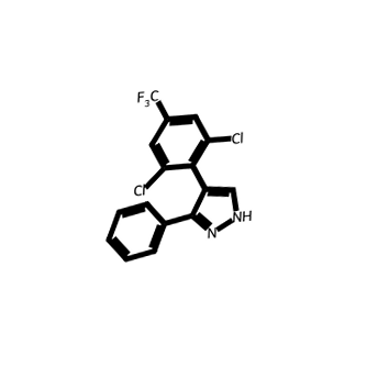 FC(F)(F)c1cc(Cl)c(-c2c[nH]nc2-c2ccccc2)c(Cl)c1